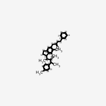 Cc1ccc(C(C)C(=O)C(C)C2CCc3cc(CC(=O)CCc4ccccc4)c(C)c(C)c32)cc1